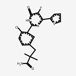 CC(C)(Cc1ccc(Cl)c(-c2nc(-c3cccs3)c(F)c(=O)[nH]2)c1)C(N)=O